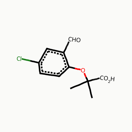 CC(C)(Oc1ccc(Cl)cc1C=O)C(=O)O